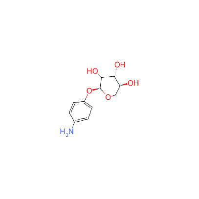 Nc1ccc(O[C@@H]2OC[C@H](O)[C@@H](O)[C@H]2O)cc1